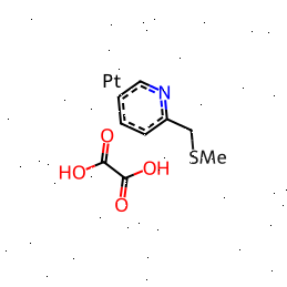 CSCc1ccccn1.O=C(O)C(=O)O.[Pt]